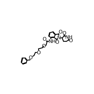 O=C1CCC(N2C(=O)c3cccc(NC(=O)COCCOCCOCc4ccccc4)c3C2=O)C(=O)N1